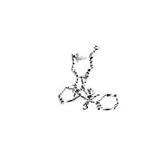 COC(=O)N1C2C=CC1C(S(=O)(=O)c1ccccc1)=C2c1ccc(Cl)nc1